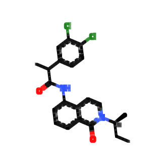 CC[C@H](C)n1ccc2c(NC(=O)C(C)c3ccc(Cl)c(Cl)c3)cccc2c1=O